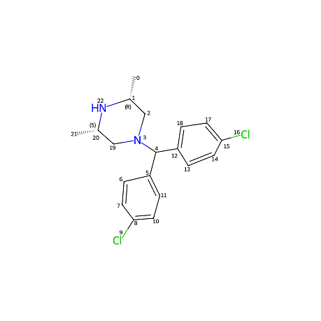 C[C@@H]1CN(C(c2ccc(Cl)cc2)c2ccc(Cl)cc2)C[C@H](C)N1